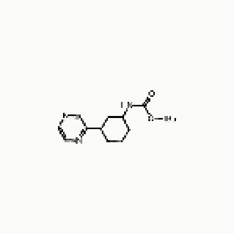 CC(C)(C)OC(=O)NC1CCCC(c2cnccn2)C1